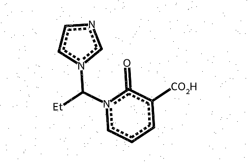 CCC(n1ccnc1)n1cccc(C(=O)O)c1=O